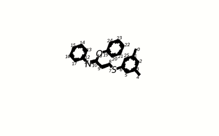 Cc1cc(C)cc(S/C=C/C(=N/c2ccccc2)Oc2ccccc2)c1